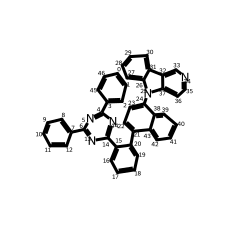 c1ccc(-c2nc(-c3ccccc3)nc(-c3ccccc3-c3ccc(-n4c5ccccc5c5cnccc54)c4ccccc34)n2)cc1